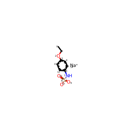 CCOc1ccc(NS(=O)(=O)[O-])cc1.[Na+]